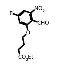 CCOC(=O)CCCOc1cc(F)cc([N+](=O)[O-])c1C=O